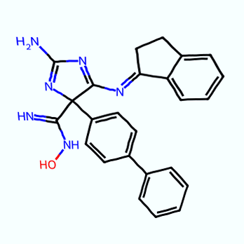 N=C(NO)C1(c2ccc(-c3ccccc3)cc2)N=C(N)N=C1N=C1CCc2ccccc21